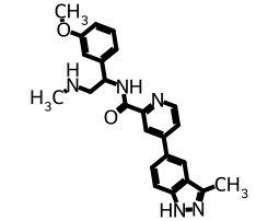 CNCC(NC(=O)c1cc(-c2ccc3[nH]nc(C)c3c2)ccn1)c1cccc(OC)c1